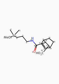 CO[Si](C)(C)CCCNC(=O)C1C2C=CC(CC2)C1C(=O)O